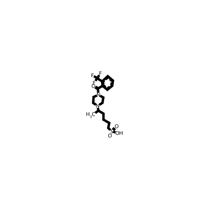 CC(CCCCS(=O)(=O)O)N1CCN(C(=O)c2ccccc2C(F)(F)F)CC1